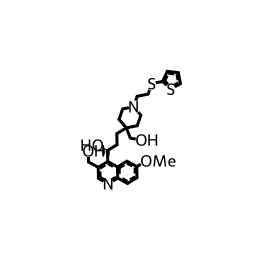 COc1ccc2ncc(CO)c([C@H](O)CCC3(CO)CCN(CCSc4cccs4)CC3)c2c1